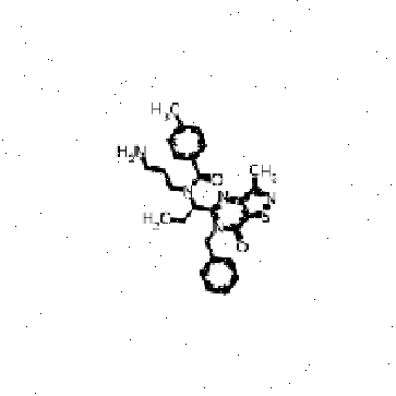 CC[C@H](c1nc2c(C)nsc2c(=O)n1Cc1ccccc1)N(CCCN)C(=O)c1ccc(C)cc1